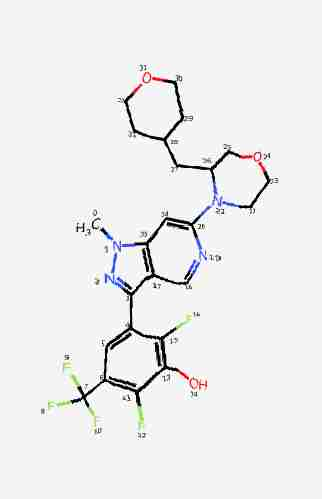 Cn1nc(-c2cc(C(F)(F)F)c(F)c(O)c2F)c2cnc(N3CCOCC3CC3CCOCC3)cc21